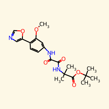 COc1cc(NC(=O)C(=O)NC(C)(C)C(=O)OC(C)(C)C)ccc1-c1cnco1